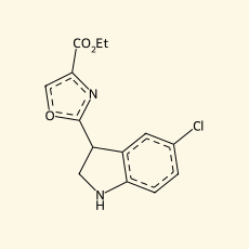 CCOC(=O)c1coc(C2CNc3ccc(Cl)cc32)n1